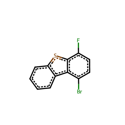 Fc1ccc(Br)c2c1sc1ccccc12